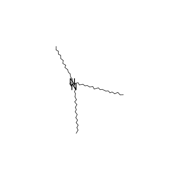 CCCCCCCCCCCCCCCCCCCC1N(CCCCCCCCCCCCCCC)C=CN1CCCCCCCCCCCCCCCCCC